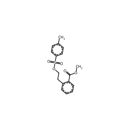 COC(=O)c1ccccc1CCOS(=O)(=O)c1ccc(C)cc1